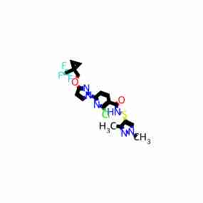 Cc1nn(C)cc1SNC(=O)c1ccc(-n2ccc(OCC3(C(F)(F)F)CC3)n2)nc1Cl